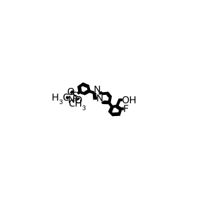 CN(C)S(=O)(=O)c1cccc(-c2cn3cc(-c4cccc(F)c4CO)ccc3n2)c1